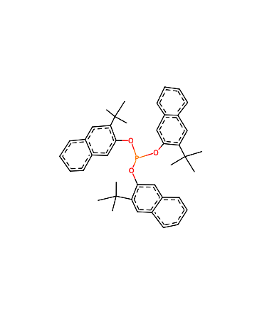 CC(C)(C)c1cc2ccccc2cc1OP(Oc1cc2ccccc2cc1C(C)(C)C)Oc1cc2ccccc2cc1C(C)(C)C